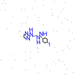 N=C(NCCNc1ncccn1)c1ccc(I)cc1